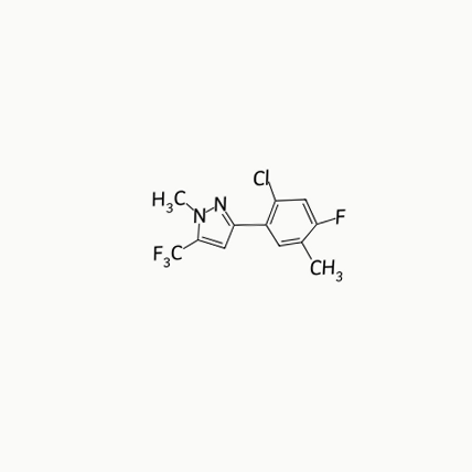 Cc1cc(-c2cc(C(F)(F)F)n(C)n2)c(Cl)cc1F